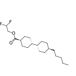 CCCCC[C@H]1CC[C@H]([C@H]2CC[C@H](C(=O)OCC(F)F)CC2)CC1